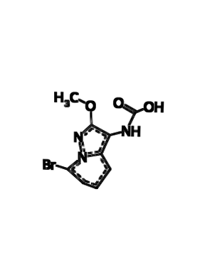 COc1nn2c(Br)cccc2c1NC(=O)O